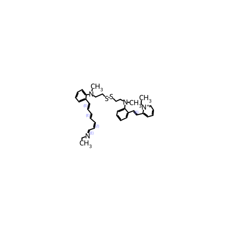 CC/N=C/C=C\C=C\C=C\c1ccccc1N(C)CCSSCCN(C)c1ccccc1/C=C/c1cccc[n+]1CC